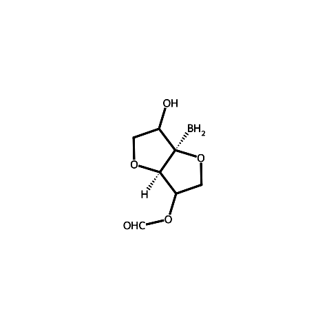 B[C@]12OCC(OC=O)[C@H]1OCC2O